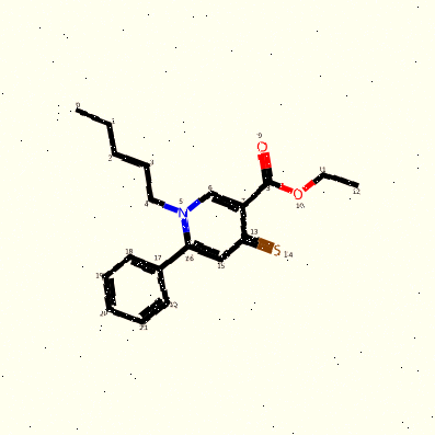 CCCCCn1cc(C(=O)OCC)c(=S)cc1-c1ccccc1